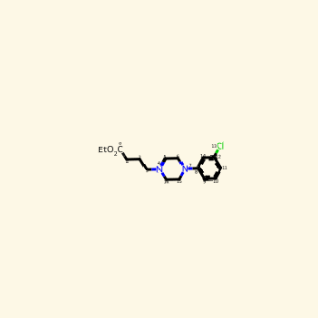 CCOC(=O)CCCN1CCN(c2cccc(Cl)c2)CC1